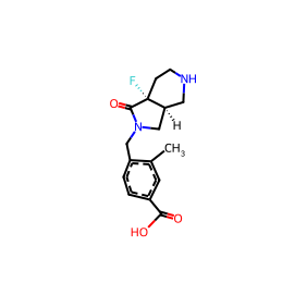 Cc1cc(C(=O)O)ccc1CN1C[C@@H]2CNCC[C@]2(F)C1=O